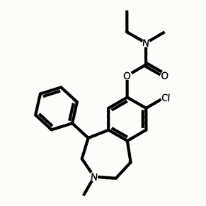 CCN(C)C(=O)Oc1cc2c(cc1Cl)CCN(C)CC2c1ccccc1